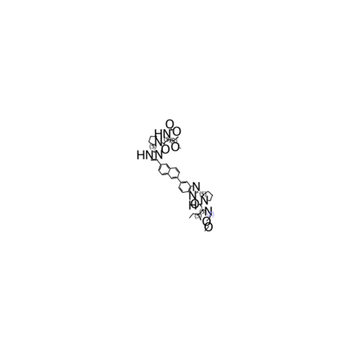 CC[C@H](C)[C@H](/N=C\OOC)C(=O)N1CCC[C@H]1c1nc2cc(-c3ccc4cc(-c5c[nH]c([C@@H]6CCCN6C(=O)[C@@H](NC(=O)OC)[C@@H](C)OC)n5)ccc4c3)ccc2[nH]1